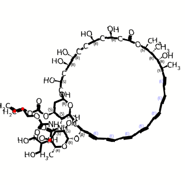 C=CCOC(=O)N[C@@H]1[C@H](O)[C@H](O[C@H]2/C=C/C=C/C=C/C=C/C=C/C=C/C=C/[C@H](C)[C@@H](O)[C@@H](C)[C@H](C)OC(=O)C[C@H](O)C[C@H](O)CC[C@@H](O)[C@H](O)C[C@H](O)C[C@]3(O)C[C@H](OC(=O)OCC=C)[C@@H](NC(=O)NC(CO)CO)[C@H](C2)O3)O[C@H](C)[C@H]1O